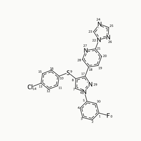 Fc1cccc(-n2cc(Sc3ccc(Cl)cc3)c(-c3ccc(-n4cncn4)nc3)n2)c1